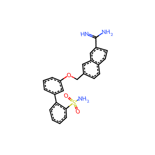 N=C(N)c1ccc2ccc(COc3cccc(-c4ccccc4S(N)(=O)=O)c3)cc2c1